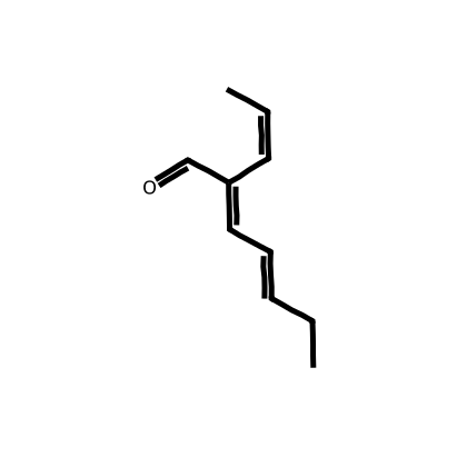 C\C=C/C(C=O)=C\C=C\CC